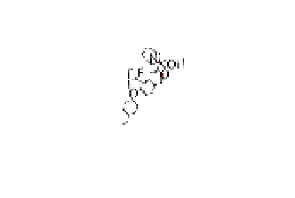 CCC1CCC(Oc2ccc3ccc(C(C)N4C5CCC4CC(C(=O)O)C5)cc3c2C(F)(F)F)CC1